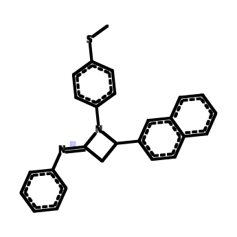 CSc1ccc(N2/C(=N/c3ccccc3)CC2c2ccc3ccccc3c2)cc1